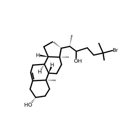 C[C@H](C(O)CCC(C)(C)Br)[C@H]1CC[C@H]2[C@@H]3CC=C4C[C@@H](O)CC[C@]4(C)[C@H]3CC[C@]12C